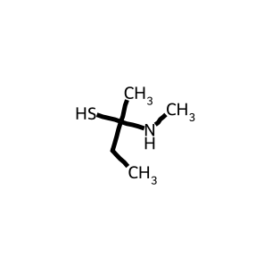 CCC(C)(S)NC